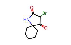 O=C1NC2(CCCCC2)C(=O)C1Br